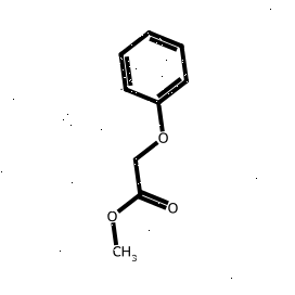 COC(=O)COc1[c]cccc1